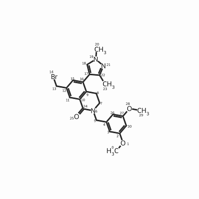 COc1cc(CN2CCc3c(cc(CBr)cc3-c3cn(C)nc3C)C2=O)cc(OC)c1